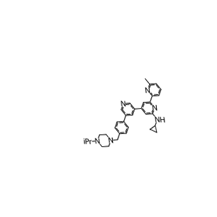 Cc1cccc(-c2cc(-c3cncc(-c4ccc(CN5CCN(C(C)C)CC5)cc4)c3)cc(NC3CC3)n2)n1